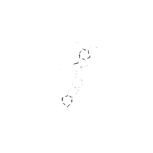 COc1cc2c(cc1OC)C(=O)C(F)(CC1CCN(Cc3cccc(C)c3)CC1)C2.Cl